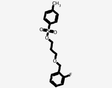 Cc1ccc(S(=O)(=O)OCCCOCc2ccccc2F)cc1